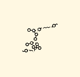 C=CC1=CCC(OCCCCCCOC2=CCC(n3c4c(c5cc(-c6ccc(N(C7=CCC(c8ccccc8)C=C7)C7=CCC8C(=C7)C(CCC[SiH](C)CCOc7ccc(C=C)cc7)(C7C=CC=CC7)c7ccccc78)cc6)ccc53)=CC(C3=CC=CCC3)CC=4)C=C2)C=C1